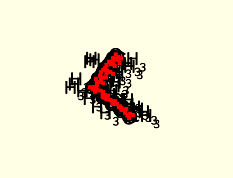 CCCC(C#N)P(=O)(OCC)OCC.CCOP(=O)(CC#N)OCC.CCOP(=O)(CCC#N)OCC.CCOP(=O)(CCCC#N)OCC.CCOP(=O)(CCCCC#N)OCC.CCOP(=O)(OCC)C(C#N)CC.CCOP(=O)(OCC)C(C)C#N.CCOP(=O)(OCC)C(C)CC#N.CCOP(=O)(OCC)C(C)CCC#N.CCOP(=O)(OCC)C(CC)CC#N